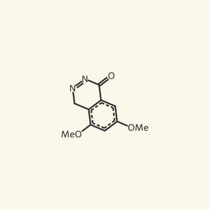 COc1cc(OC)c2c(c1)C(=O)N=NC2